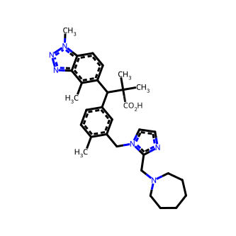 Cc1ccc(C(c2ccc3c(nnn3C)c2C)C(C)(C)C(=O)O)cc1Cn1ccnc1CN1CCCCCC1